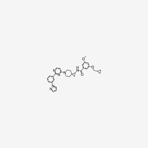 COc1cc(OCC2CC2)cc(C(=O)NC2CC23CCN(c2ccnc(-c4cccc(-n5cccn5)c4)n2)CC3)c1